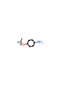 C[SiH](C)Oc1ccc(N)cc1